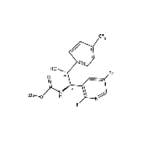 CC(C)(C)OC(=O)N[C@H](c1cc(Br)cnc1F)[C@H](O)c1ccc(C(F)(F)F)cc1